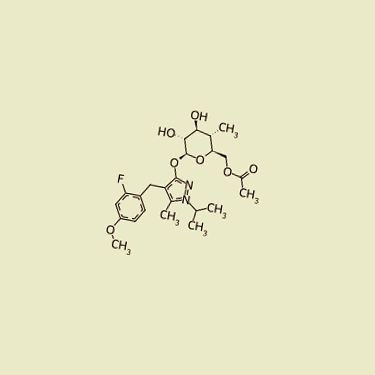 COc1ccc(Cc2c(O[C@@H]3O[C@H](COC(C)=O)[C@@H](C)[C@H](O)[C@H]3O)nn(C(C)C)c2C)c(F)c1